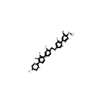 CC1CCC(c2ccc(-c3ccc(CCc4ccc(-c5ccc(OC(F)(F)F)c(F)c5)c(F)c4)c(F)c3)c(F)c2F)CC1